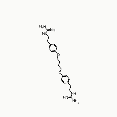 N=C(N)NCCc1ccc(OCCCCOc2ccc(CCNC(=N)N)cc2)cc1